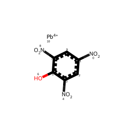 O=[N+]([O-])c1cc([N+](=O)[O-])c(O)c([N+](=O)[O-])c1.[Pb+4]